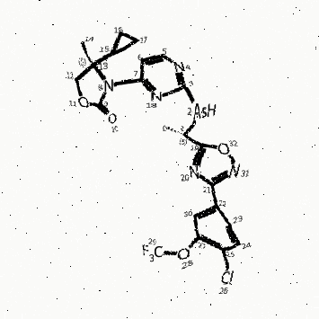 C[C@H]([AsH]c1nccc(N2C(=O)OC[C@]2(C)C2CC2)n1)c1nc(-c2ccc(Cl)c(OC(F)(F)F)c2)no1